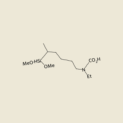 CCN(CCCCC(C)[SiH](OC)OC)C(=O)O